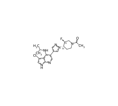 CC(=O)N1CC[C@H](n2cc(-c3cnc4[nH]cc(Cl)c4c3NC(C)C)cn2)[C@@H](F)C1